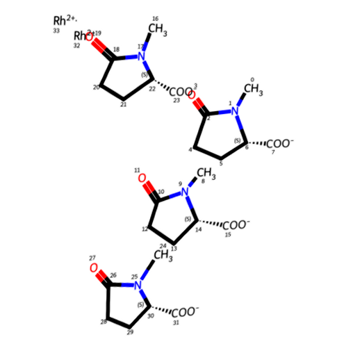 CN1C(=O)CC[C@H]1C(=O)[O-].CN1C(=O)CC[C@H]1C(=O)[O-].CN1C(=O)CC[C@H]1C(=O)[O-].CN1C(=O)CC[C@H]1C(=O)[O-].[Rh+2].[Rh+2]